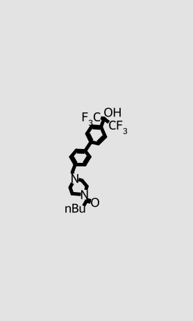 CCCCC(=O)N1CCN(Cc2ccc(-c3ccc(C(O)(C(F)(F)F)C(F)(F)F)cc3)cc2)CC1